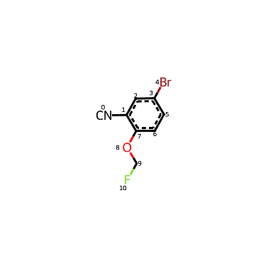 [C-]#[N+]c1cc(Br)ccc1OCF